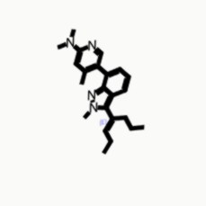 CC/C=C(\CCC)c1c2cccc(-c3cnc(N(C)C)cc3C)c2nn1C